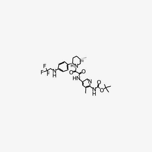 Cc1cc(NC(=O)C(=O)N2C[C@@H](C)CC[C@@H]2c2ccc(NCC(F)(F)F)cc2)cnc1NC(=O)OC(C)(C)C